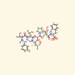 CC[C@H](C)[C@@H]([C@@H](CC(=O)N1CCC[C@H]1[C@H](OC)[C@@H](C)C(=O)N[C@@H](Cc1ccccc1)C(=O)O)OC)N(C)C(=O)[C@@H](NC(=O)[C@H](C(C)C)N(C)Cc1cccc(C)c1)C(C)C